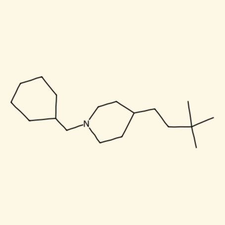 CC(C)(C)CCC1CCN(CC2CCCCC2)CC1